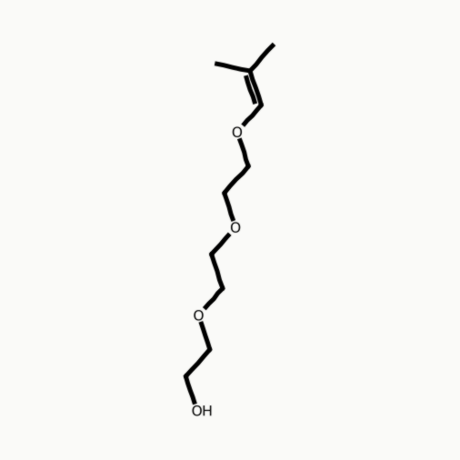 CC(C)=COCCOCCOCCO